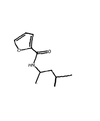 [CH2]C(CC(C)C)NC(=O)c1ccco1